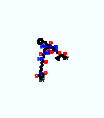 CC(C)C(=O)C(OCNC(=O)CNC(=O)C(Cc1ccccc1)NC(=O)CNC(=O)CNC(=O)CCCCCN1C(=O)CC(C(C)C)C1=O)C1CC1